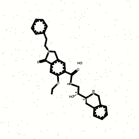 CCOc1cc2c(cc1C(=O)NC[C@@H](O)[C@@H]1Cc3ccccc3CN1)CN(CCc1ccccc1)C2=O.Cl